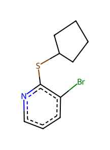 Brc1cccnc1SC1CCCC1